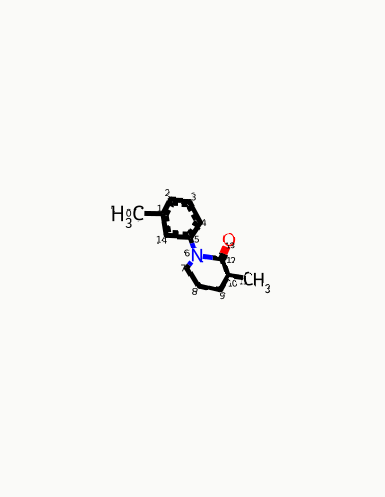 Cc1cccc(N2CCCC(C)C2=O)c1